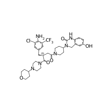 Nc1c(Cl)cc(C[C@@H](CC(=O)N2CCC(N3Cc4cc(O)ccc4NC3=O)CC2)C(=O)N2CCN(C3CCOCC3)CC2)cc1C(F)(F)F